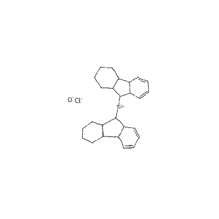 C1=CC2C(C=C1)[CH]([Ti+2][CH]1C3C=CC=CC3C3CCCCC31)C1CCCCC21.[Cl-].[Cl-]